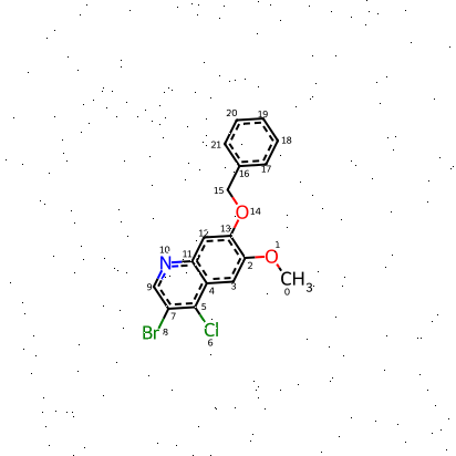 COc1cc2c(Cl)c(Br)cnc2cc1OCc1ccccc1